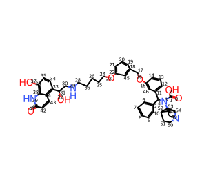 O=C(O)N(C(c1ccccc1)c1cccc(OCc2cccc(OCCCCCNCC(O)c3ccc(O)c4[nH]c(=O)ccc34)c2)c1)C1CN2CCC1CC2